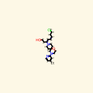 CCc1ccnc(N2CCOC3(CCN(/C(=C\C=C/CCCl)CCO)CC3)C2)c1